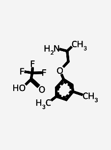 Cc1cc(C)cc(OCC(C)N)c1.O=C(O)C(F)(F)F